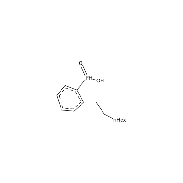 CCCCCCCCc1ccccc1[PH](=O)O